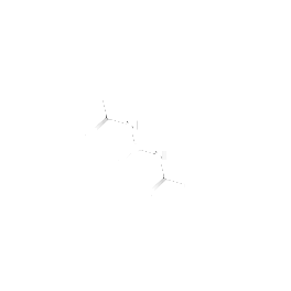 O=C(N[S+]([O-])NC(=O)C(F)(F)F)C(F)(F)F